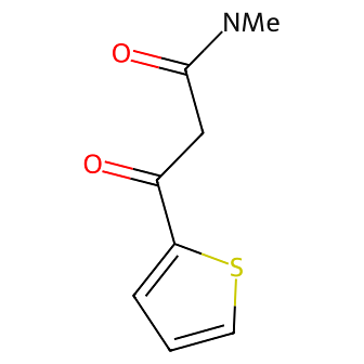 CNC(=O)CC(=O)c1cccs1